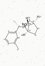 Cc1cccc([C@H](C)N2C[C@H]3CC[C@@H]2[C@@H]3O)c1